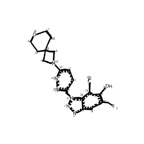 Oc1c(F)cc2nnn(-c3ccc(N4CC5(CCOCC5)C4)nn3)c2c1F